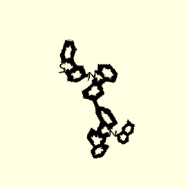 c1ccc2c(-n3c4ccc(-c5ccc6c(c5)c5ccccc5n6-c5ccc6sc7ccccc7c6c5)cc4c4ccc5ccccc5c43)cccc2c1